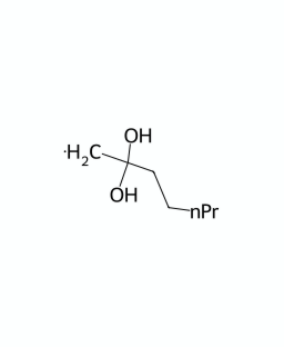 [CH2]C(O)(O)CCCCC